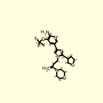 C=C(CCn1cc(-c2cnc(N)c(OC(F)(F)F)c2)nc1C1CCOC1)N1CCOCC1